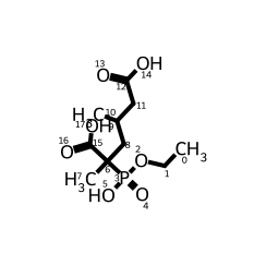 CCOP(=O)(O)C(C)(CC(C)CC(=O)O)C(=O)O